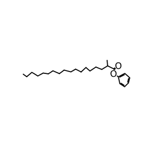 CCCCCCCCCCCCCCCCC(C)C(=O)Oc1ccccc1